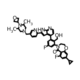 CC1CN(Cc2ccc(-c3cc4c(-c5cc(F)cc(N6CCOc7cc(C8CC8)cc(F)c7C6=O)c5CO)ccnc4[nH]3)nc2)CC(C)N1C1COC1